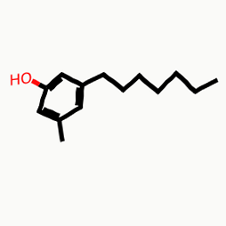 CCCCCCCc1cc(C)cc(O)c1